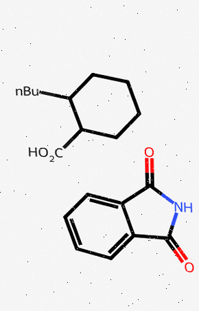 CCCCC1CCCCC1C(=O)O.O=C1NC(=O)c2ccccc21